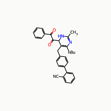 CCCCC1=C(Cc2ccc(-c3ccccc3C#N)cc2)C(C(=O)C(=O)c2ccccc2)NC(C)=N1